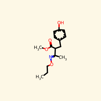 CCCO/N=C(\C)C(Cc1ccc(O)cc1)C(=O)OC